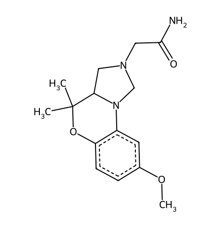 COc1ccc2c(c1)N1CN(CC(N)=O)CC1C(C)(C)O2